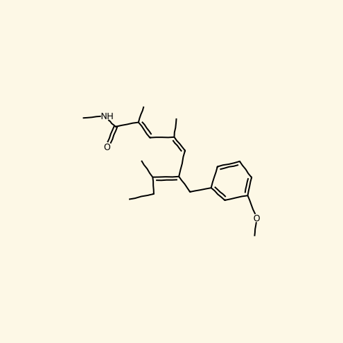 CC/C(C)=C(/C=C(C)\C=C(/C)C(=O)NC)Cc1cccc(OC)c1